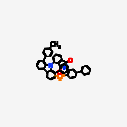 Cc1ccc(-c2cccc3c4cccc(-c5ccccc5)c4n(-c4cccc5c4C(=O)N(c4cc(-c6ccccc6)ccc4P)C5=O)c23)cc1